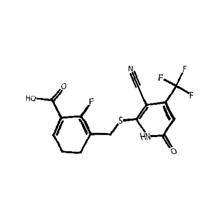 N#Cc1c(C(F)(F)F)cc(=O)[nH]c1SCC1=C(F)C(C(=O)O)=CCC1